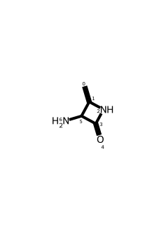 C=C1NC(=O)C1N